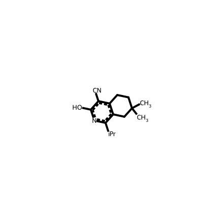 CC(C)c1nc(O)c(C#N)c2c1CC(C)(C)CC2